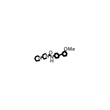 COc1cccc(-c2ccc(NC(=O)N3CCC(N4CCCCC4)CC3)cc2)c1